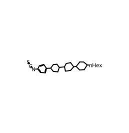 CCCCCCC1CCC(C2CCC(C3CCC(c4ccc(N=C=S)cc4)CC3)CC2)CC1